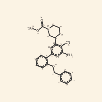 Bc1nc(-c2ccccc2OCc2ccccc2)cc(C2CCCN(C(=O)OC(C)(C)C)C2)c1C#N